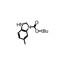 Cc1ccc2c(c1)N(C(=O)OC(C)(C)C)CN2